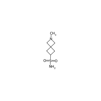 CN1CC2(CC(S(N)(=O)=O)C2)C1